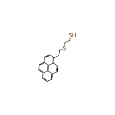 SCCSCCc1ccc2ccc3cccc4ccc1c2c34